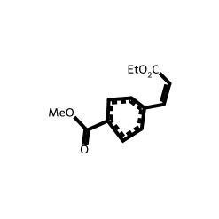 CCOC(=O)/C=C\c1ccc(C(=O)OC)cc1